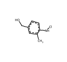 Cc1cc(CO)ccc1NCl